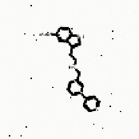 COc1ccc2[nH]cc(CCNCc3cccc(-c4ccncc4)c3)c2c1